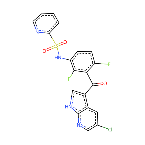 O=C(c1c(F)ccc(NS(=O)(=O)c2ccccn2)c1F)c1c[nH]c2ncc(Cl)cc12